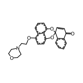 O=C1C=CC2(Oc3cccc4c(OCCN5CCOCC5)ccc(c34)O2)c2ccccc21